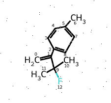 C=C(c1ccc(C)cc1)C(C)(C)F